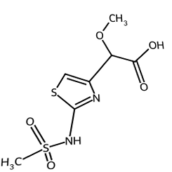 COC(C(=O)O)c1csc(NS(C)(=O)=O)n1